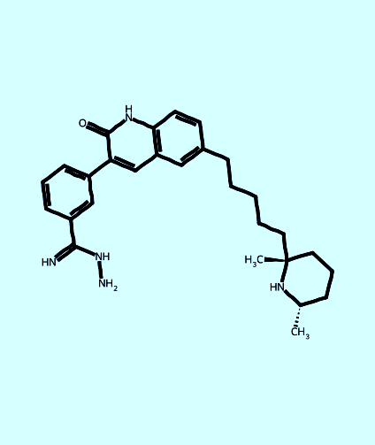 C[C@H]1CCC[C@@](C)(CCCCCc2ccc3[nH]c(=O)c(-c4cccc(C(=N)NN)c4)cc3c2)N1